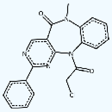 CN1C(=O)c2cnc(-c3ccccc3)nc2N(C(=O)CCl)c2ccccc21